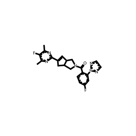 Cc1nc(C2=CC3CN(C(=O)c4ccc(F)cc4-n4nccn4)CC3C2)nc(C)c1F